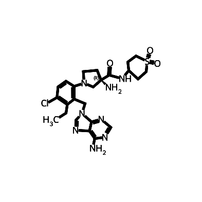 CCc1c(Cl)ccc(N2CC[C@](N)(C(=O)NC3CCS(=O)(=O)CC3)C2)c1Cn1cnc2c(N)ncnc21